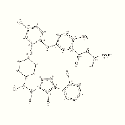 CCN(C(=O)n1nnn(-c2ccccc2Cl)c1=O)C1CCCCC1.CCOC(=O)C(C)OC(=O)c1cc(Oc2ccc(C(F)(F)F)cc2Cl)ccc1[N+](=O)[O-]